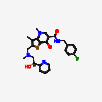 Cc1c(CN(C)C[C@@H](O)c2ccccn2)sc2c(=O)c(C(=O)NCc3ccc(F)cc3)cn(C)c12